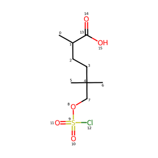 CC(CCC(C)(C)COS(=O)(=O)Cl)C(=O)O